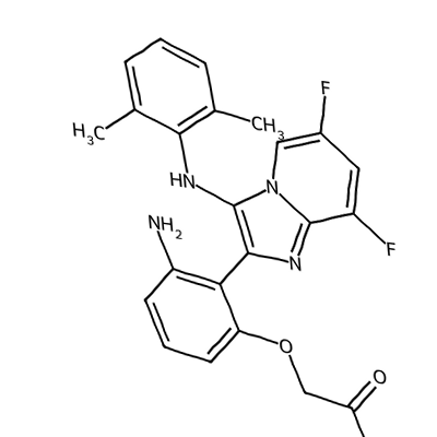 Cc1cccc(C)c1Nc1c(-c2c(N)cccc2OCC(N)=O)nc2c(F)cc(F)cn12